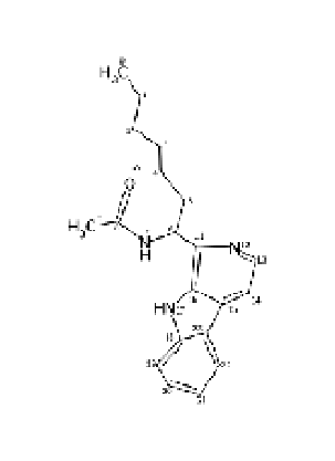 CCCCCCC(NC(C)=O)c1nccc2c1[nH]c1ccccc12